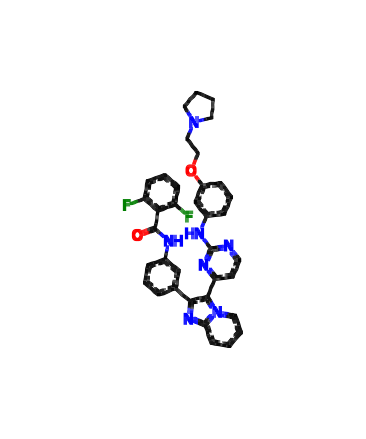 O=C(Nc1cccc(-c2nc3ccccn3c2-c2ccnc(Nc3cccc(OCCN4CCCC4)c3)n2)c1)c1c(F)cccc1F